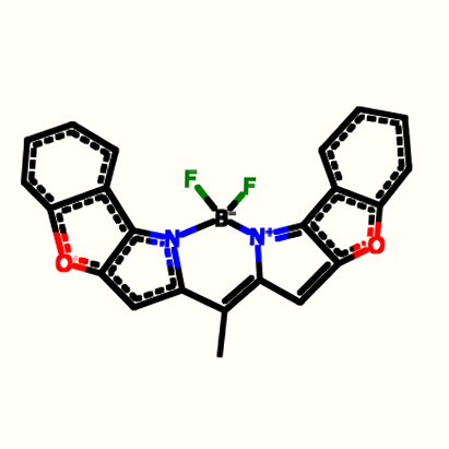 CC1=C2C=c3oc4ccccc4c3=[N+]2[B-](F)(F)n2c1cc1oc3ccccc3c12